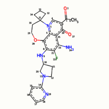 CC(=O)c1cn2c3c(c(NC4CCN(c5ccccn5)C4)c(F)c(N)c3c1=O)OCCC21CCC1